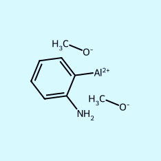 C[O-].C[O-].Nc1cccc[c]1[Al+2]